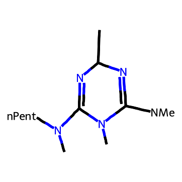 CCCCCN(C)C1=NC(C)N=C(NC)N1C